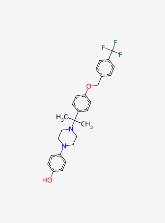 CC(C)(c1ccc(OCc2ccc(C(F)(F)F)cc2)cc1)N1CCN(c2ccc(O)cc2)CC1